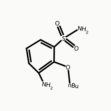 CCCCOc1c(N)cccc1S(N)(=O)=O